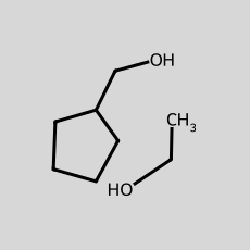 CCO.OCC1CCCC1